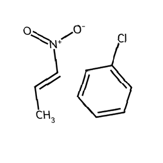 CC=C[N+](=O)[O-].Clc1ccccc1